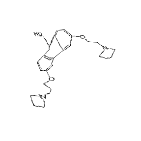 OC1c2ccc(OCCN3CCC3)cc2-c2cc(OCCN3CCC3)ccc21